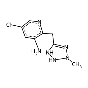 CN1N=C(Cc2ncc(Cl)cc2N)NN1